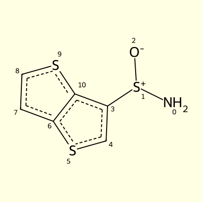 N[S+]([O-])c1csc2ccsc12